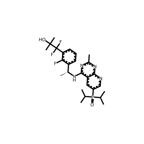 Cc1nc(N[C@H](C)c2cccc(C(F)(F)C(C)(C)O)c2F)c2cc(P(=O)(C(C)C)C(C)C)cnc2n1